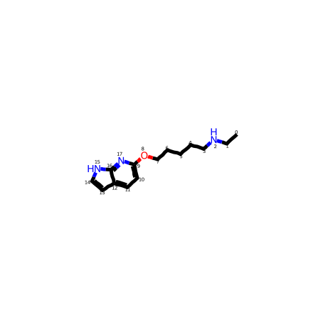 CCNCCCCCOc1ccc2[c]c[nH]c2n1